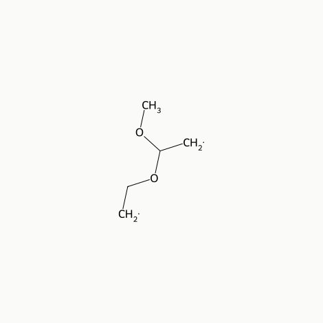 [CH2]COC([CH2])OC